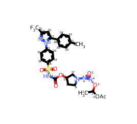 CC(=O)OC(C)On1on1N1CCC(OC(=O)NS(=O)(=O)c2ccc(-n3nc(C(F)(F)F)cc3-c3ccc(C)cc3)cc2)C1